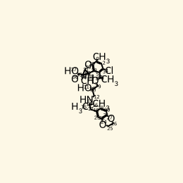 Cc1cc(Cl)c([C@@H](C)OC[C@H](O)CNC(C)(C)Cc2ccc3c(c2)OCCO3)c2c1OC1[C@@H]2[C@]1(C)C(=O)O